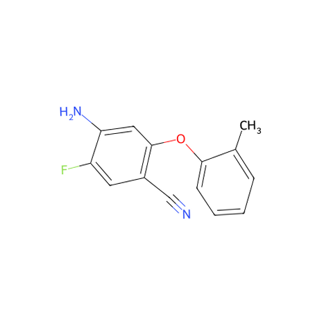 Cc1ccccc1Oc1cc(N)c(F)cc1C#N